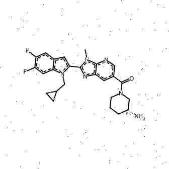 Cn1c(-c2cc3cc(F)c(F)cc3n2CC2CC2)nc2cc(C(=O)N3CCC[C@@H](N)C3)cnc21